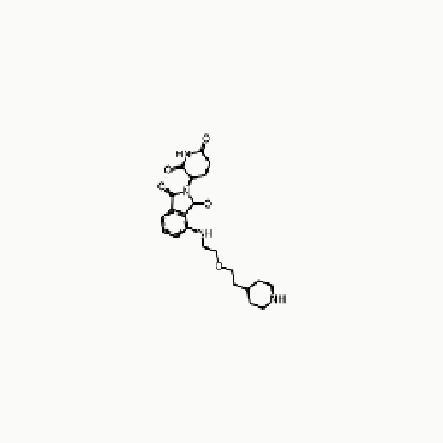 O=C1CCC(N2C(=O)c3cccc(NCCOCCC4CCNCC4)c3C2=O)C(=O)N1